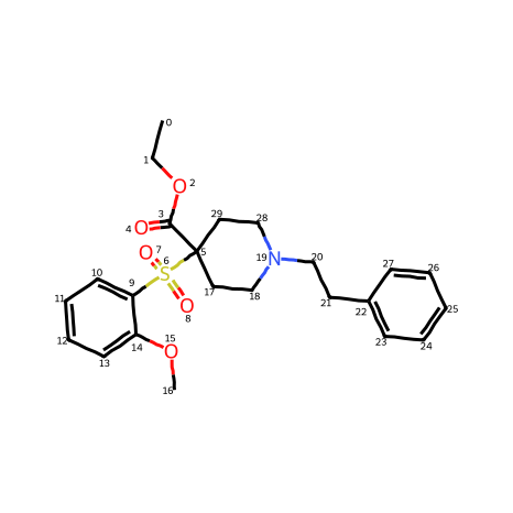 CCOC(=O)C1(S(=O)(=O)c2ccccc2OC)CCN(CCc2ccccc2)CC1